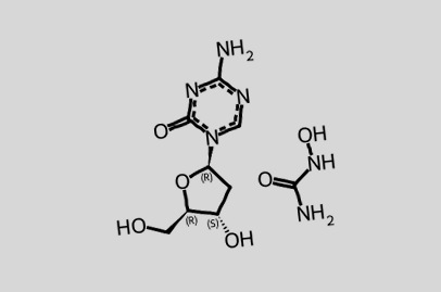 NC(=O)NO.Nc1ncn([C@H]2C[C@H](O)[C@@H](CO)O2)c(=O)n1